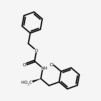 O=C(N[C@@H](Cc1ccccc1Cl)C(=O)O)OCc1ccccc1